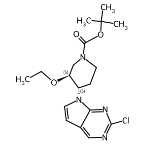 CCO[C@H]1CN(C(=O)OC(C)(C)C)CC[C@@H]1n1ccc2cnc(Cl)nc21